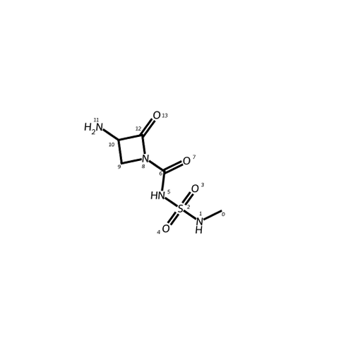 CNS(=O)(=O)NC(=O)N1CC(N)C1=O